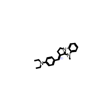 CCN(CC)c1ccc(/C=C2\CC[n+]3c2n(C)c2ccccc23)cc1